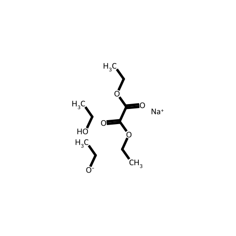 CCO.CCOC(=O)C(=O)OCC.CC[O-].[Na+]